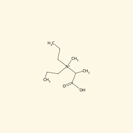 CCC[N+](C)(CCC)C(C)C(=O)O